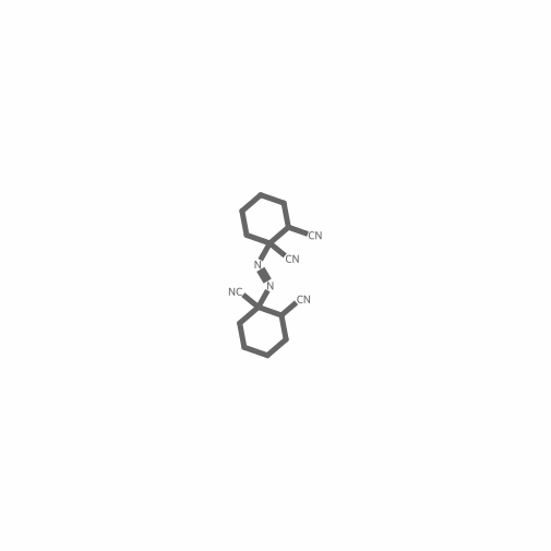 N#CC1CCCCC1(C#N)N=NC1(C#N)CCCCC1C#N